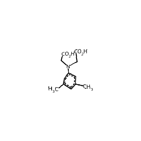 Cc1cc(C)cc(N(CC(=O)O)CC(=O)O)c1